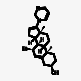 CC[C@H]1C=C2C[C@H](O)CC[C@]2(C)[C@H]2CC[C@]3(C)C(N4C=CC=NC4)=CC[C@H]3[C@H]12